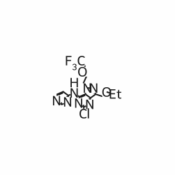 CCOCc1nn(CCOCC(F)(F)F)c2c(Nc3ccncn3)nc(Cl)nc12